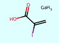 C=C(I)C(=O)O.[GaH3]